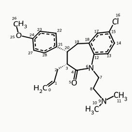 C=CC[C@H]1C(=O)N(CCN(C)C)c2ccc(Cl)cc2C[C@H]1c1ccc(OC)cc1